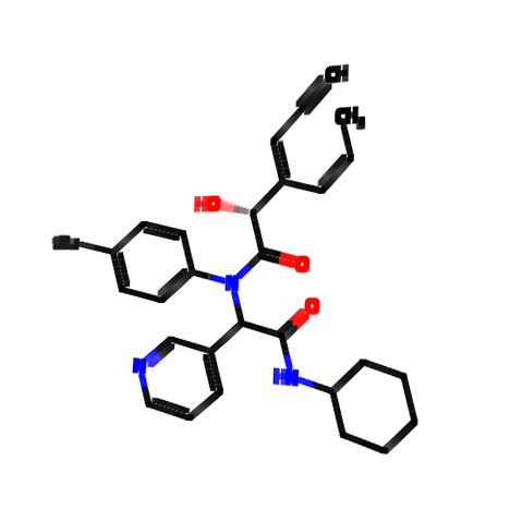 C#C/C=C(\C=C/C)[C@@H](O)C(=O)N(c1ccc(C(C)(C)C)cc1)C(C(=O)NC1CCCCC1)c1cccnc1